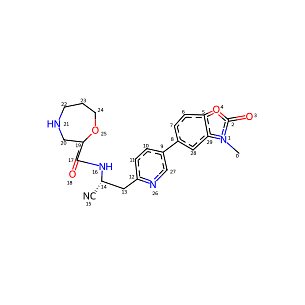 Cn1c(=O)oc2ccc(-c3ccc(C[C@H](C#N)NC(=O)C4CNCCCO4)nc3)cc21